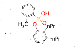 CCCc1cccc(OP(=O)(O)c2ccccc2C)c1CCC